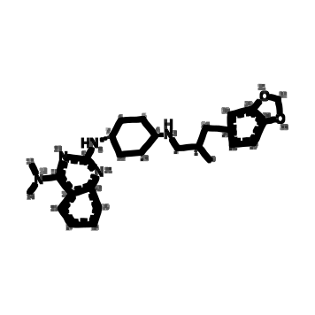 CC(CN[C@H]1CC[C@@H](Nc2nc(N(C)C)c3ccccc3n2)CC1)Cc1ccc2c(c1)OCO2